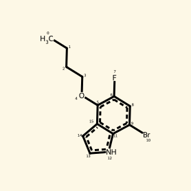 CCCCOc1c(F)cc(Br)c2[nH]ccc12